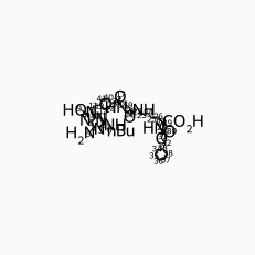 CCCCNc1nc(N)c2nc(O)n(Cc3ccc(C(=O)NCC(=O)NCCCC[C@H](NC(=O)OCc4ccccc4)C(=O)O)cc3)c2n1